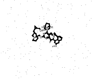 C#Cc1cccc2cc(O)cc(-c3ncc4c(N5C[C@H]6CC[C@@H](C5)N6)nc(OCC56CCCN5CC(=CC5CC5COC)C6)nc4c3F)c12